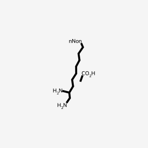 CC(=O)O.CCCCCCCCCCCCCCCCC(N)CN